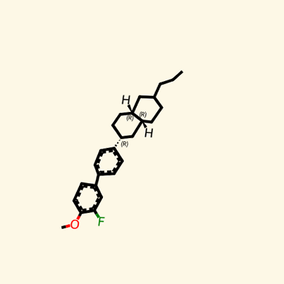 CCCC1CC[C@@H]2C[C@H](c3ccc(-c4ccc(OC)c(F)c4)cc3)CC[C@@H]2C1